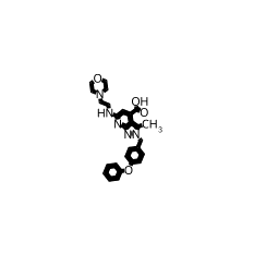 Cc1c2c(C(=O)O)cc(NCCN3CCOCC3)nc2nn1Cc1ccc(Oc2ccccc2)cc1